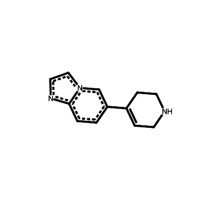 C1=C(c2ccc3nccn3c2)CCNC1